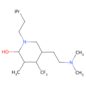 CC(C)CCN1CC(CCN(C)C)C(C(F)(F)F)C(C)C1O